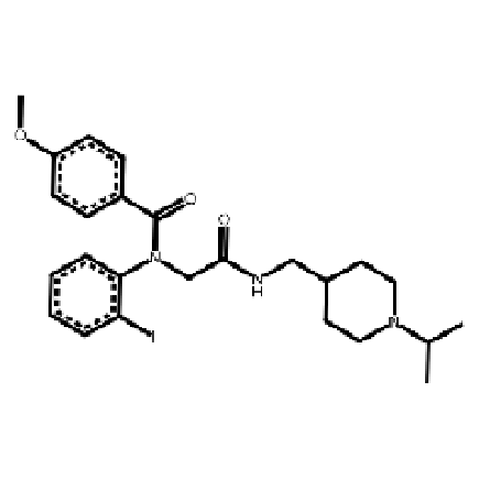 COc1ccc(C(=O)N(CC(=O)NCC2CCN(C(C)C)CC2)c2ccccc2I)cc1